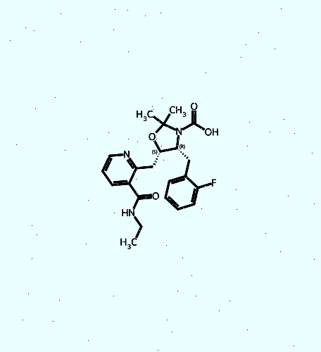 CCNC(=O)c1cccnc1C[C@@H]1OC(C)(C)N(C(=O)O)[C@@H]1Cc1ccccc1F